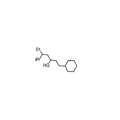 CCC(CC(O)CCC1CCCCC1)C(C)C